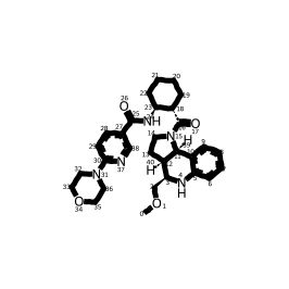 COC[C@@H]1Nc2ccccc2[C@H]2[C@@H]1CCN2C(=O)[C@H]1CCCC[C@H]1NC(=O)c1ccc(N2CCOCC2)nc1